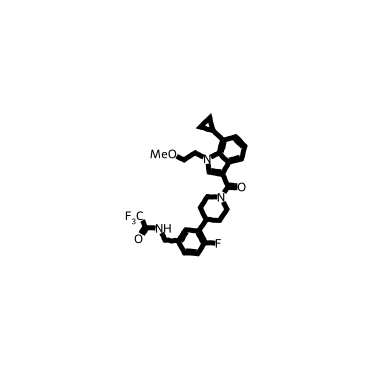 COCCn1cc(C(=O)N2CCC(c3cc(CNC(=O)C(F)(F)F)ccc3F)CC2)c2cccc(C3CC3)c21